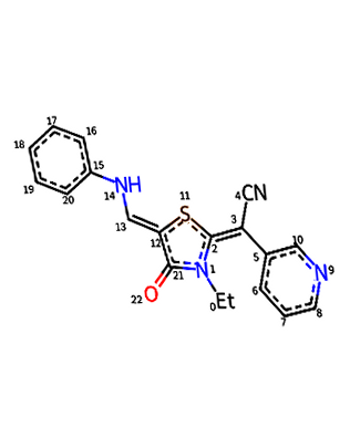 CCn1c(=C(C#N)c2cccnc2)sc(=CNc2ccccc2)c1=O